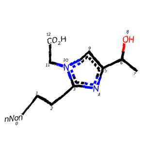 CCCCCCCCCCCc1nc(C(C)O)cn1CC(=O)O